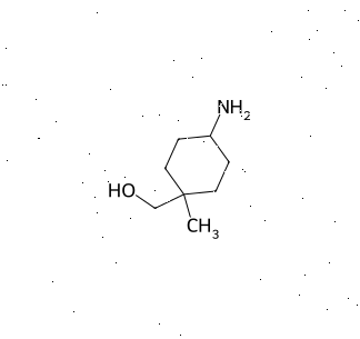 CC1(CO)CCC(N)CC1